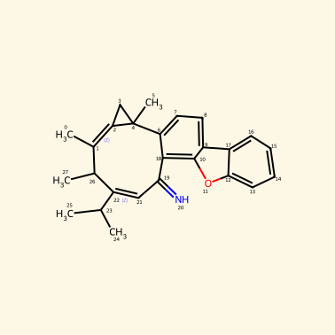 C/C1=C2\CC2(C)c2ccc3c(oc4ccccc43)c2C(=N)/C=C(/C(C)C)C1C